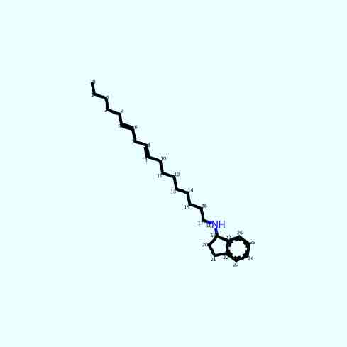 CCCCCC=CCC=CCCCCCCCCNC1CCc2ccccc21